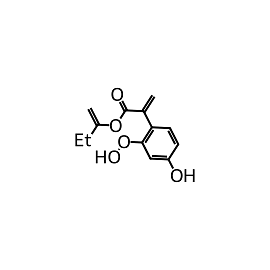 C=C(CC)OC(=O)C(=C)c1ccc(O)cc1OO